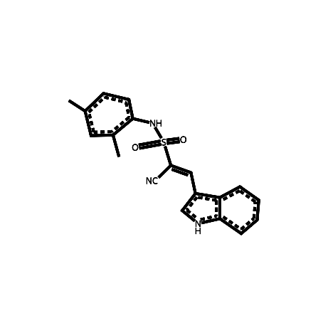 Cc1ccc(NS(=O)(=O)/C(C#N)=C/c2c[nH]c3ccccc23)c(C)c1